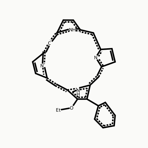 CCOc1c(-c2ccccc2)c2cc3nc(cc4ccc(cc5nc(cc1[nH]2)C=C5)[nH]4)C=C3